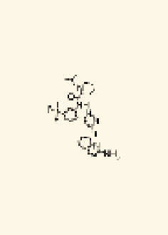 CC(C)CN1CCCC[C@H]1C(=O)Nc1cc(C(F)(F)F)ccc1-c1cc(Oc2cccc3ccc(N)nc23)ncn1